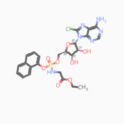 CCOC(=O)CNP(=O)(OC[C@H]1O[C@@H](n2c(Cl)nc3c(N)ncnc32)[C@@H](O)[C@H]1O)Oc1cccc2ccccc12